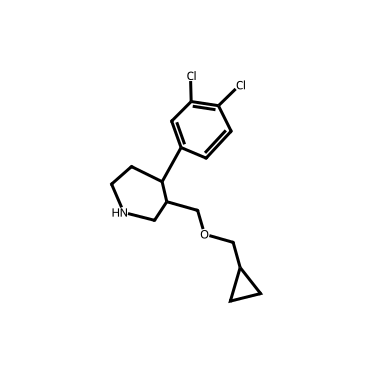 Clc1ccc(C2CCNCC2COCC2CC2)cc1Cl